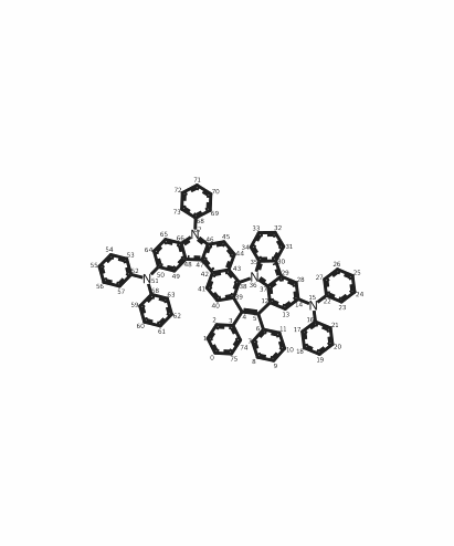 c1ccc(C2=C(c3ccccc3)c3cc(N(c4ccccc4)c4ccccc4)cc4c5ccccc5n(c34)-c3c2ccc2c3ccc3c2c2cc(N(c4ccccc4)c4ccccc4)ccc2n3-c2ccccc2)cc1